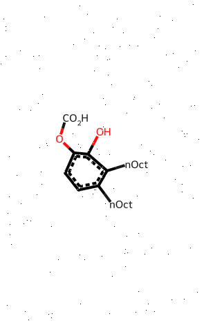 CCCCCCCCc1ccc(OC(=O)O)c(O)c1CCCCCCCC